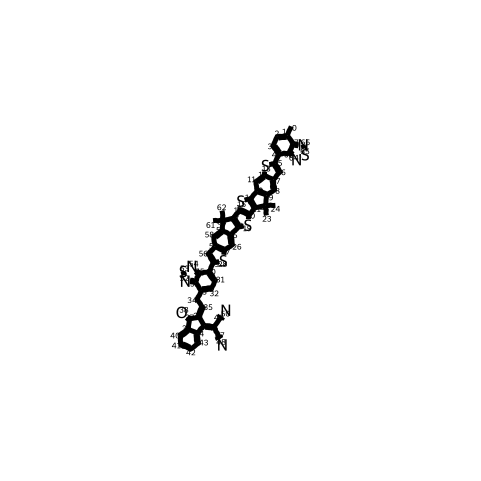 Cc1ccc(-c2cc3cc4c(cc3s2)-c2sc3c5c(sc3c2C4(C)C)-c2cc3sc(-c4ccc(C/C=C6\C(=O)c7ccccc7C6=C(C#N)C#N)c6nsnc46)cc3cc2C5(C)C)c2nsnc12